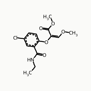 CCNC(=O)c1cc(Cl)ccc1OC(=COC)C(=O)OC